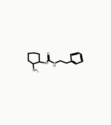 NC1CCCCC1NC(=O)NCCc1ccccc1